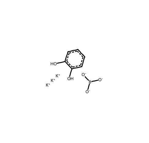 Oc1ccccc1O.[K+].[K+].[K+].[O-]B([O-])[O-]